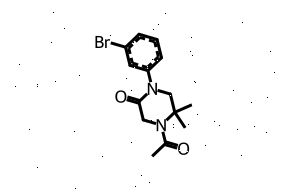 CC(=O)N1CC(=O)N(c2cccc(Br)c2)CC1(C)C